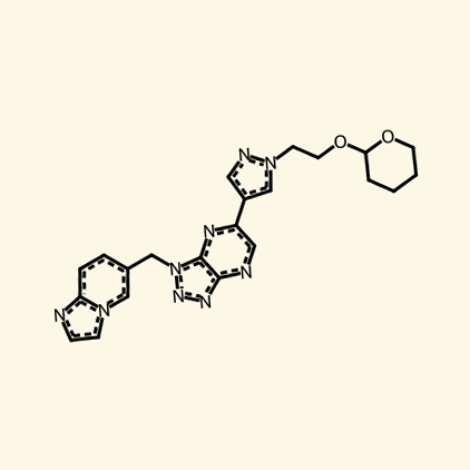 c1cn2cc(Cn3nnc4ncc(-c5cnn(CCOC6CCCCO6)c5)nc43)ccc2n1